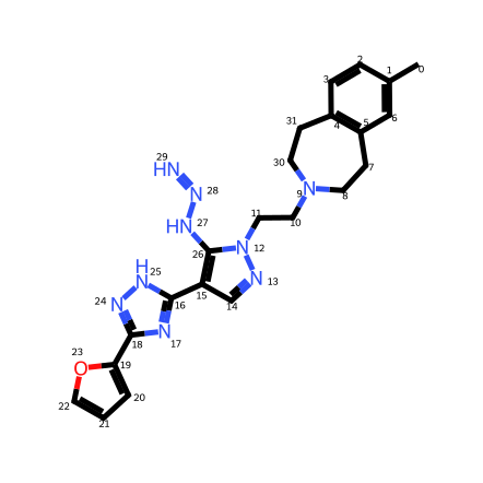 Cc1ccc2c(c1)CCN(CCn1ncc(-c3nc(-c4ccco4)n[nH]3)c1NN=N)CC2